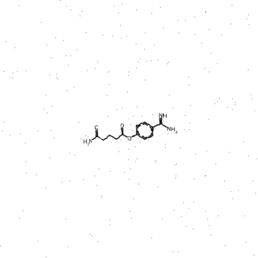 N=C(N)c1ccc(OC(=O)CCCC(N)=O)cc1